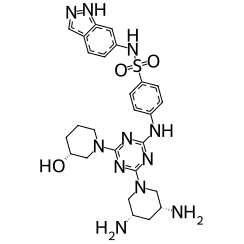 N[C@@H]1C[C@H](N)CN(c2nc(Nc3ccc(S(=O)(=O)Nc4ccc5cn[nH]c5c4)cc3)nc(N3CCC[C@@H](O)C3)n2)C1